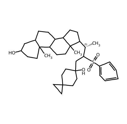 C[C@@H](C1CCC2C3CCC4CC(O)CCC4(C)C3CCC21C)C(CC1(O)CCC2(CC1)CC2)S(=O)(=O)c1ccccc1